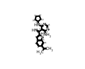 C=C(C)c1ccc2cc(C(=N)c3c(N)ncnc3NC3CCCC3)[nH]c2c1